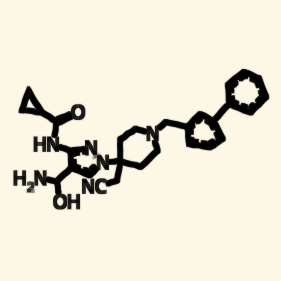 N#CCC1(n2cc(C(N)O)c(NC(=O)C3CC3)n2)CCN(Cc2cccc(-c3ccccc3)c2)CC1